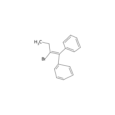 CCC(Br)=C(c1ccccc1)c1ccccc1